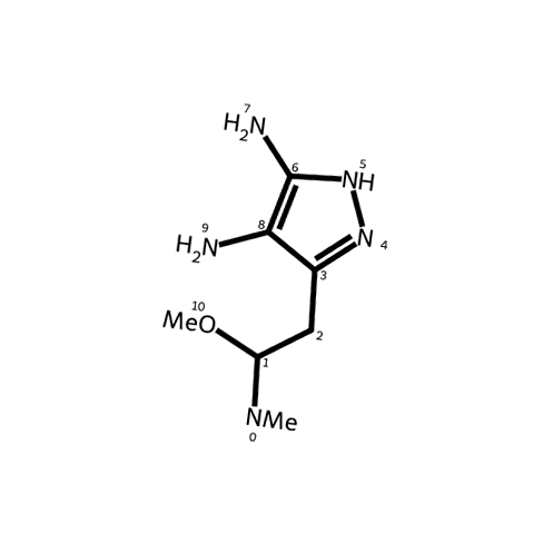 CNC(Cc1n[nH]c(N)c1N)OC